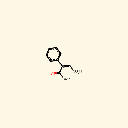 COC(=O)/C(=C\C(=O)O)c1ccccc1